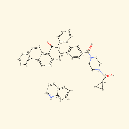 O=C1c2c(ccc3c2ccc2ccccc23)CC(c2ccc(C(=O)N3CCN(C(=O)C4CC4)CC3)cc2)C1c1ccccc1.c1ccc2ncccc2c1